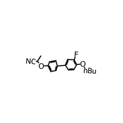 CCCCOc1ccc(-c2ccc(OC(C)C#N)cc2)cc1F